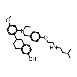 CCN(Cc1ccc(OCCNCCC(C)C)cc1)c1cc(OC)ccc1C1CCc2cc(O)ccc2C1